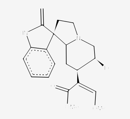 C=C1Nc2ccccc2[C@]12CCN1C[C@@H](CC)[C@@H](C(=COC)C(=O)OC)CC12